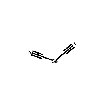 N#C[Se]C#N